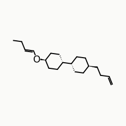 C=CCC[C@H]1CC[C@H]([C@H]2CC[C@H](OC=CCC)CC2)CC1